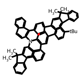 CC(C)(C)c1ccc(-c2ccc(N(c3ccc4c(c3)C(C)(C)c3ccccc3-4)c3ccc4ccccc4c3-c3ccc(-c4ccc5c(c4)C(C)(C)c4ccccc4-5)cc3)c(-c3ccccc3)c2)cc1